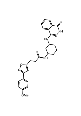 COc1ccc(-c2noc(CCC(=O)NC3CCCC(Nc4n[nH]c(=O)c5ccccc45)C3)n2)cc1